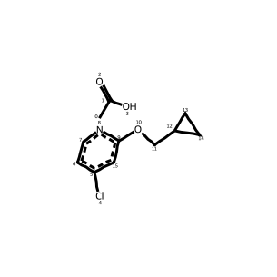 CC(=O)O.Clc1ccnc(OCC2CC2)c1